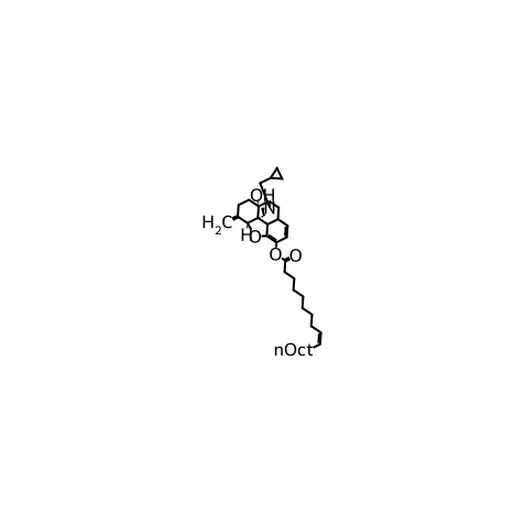 C=C1CC[C@@]2(O)C3CC4C=CC(OC(=O)CCCCCCC/C=C\CCCCCCCC)=C5O[C@@H]1[C@]2(CCN3CC1CC1)C54